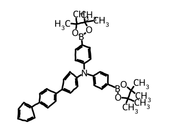 CC1(C)OB(c2ccc(N(c3ccc(B4OC(C)(C)C(C)(C)O4)cc3)c3ccc(-c4ccc(-c5ccccc5)cc4)cc3)cc2)OC1(C)C